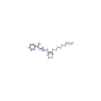 O=C(O)CCCCCCC1C2CCC(O2)C1CNC=CC(=O)c1ccccc1